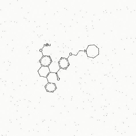 CCCCOc1ccc2c(c1)CCC(c1ccccc1)=C2C(=O)c1ccc(OCCN2CCCCCC2)cc1